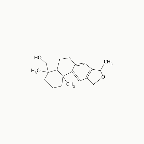 CC1OCc2cc3c(cc21)CCC1C(C)(CO)CCCC31C